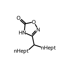 CCCCCCCC(CCCCCCC)c1noc(=O)[nH]1